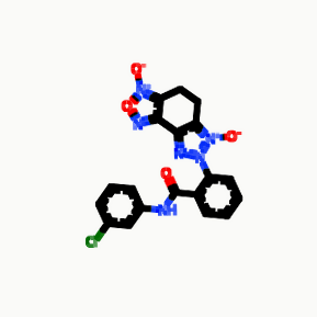 O=C(Nc1cccc(Cl)c1)c1ccccc1-n1nc2c([n+]1[O-])CCc1c-2no[n+]1[O-]